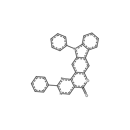 O=c1oc2cc3c4ccccc4n(-c4ccccc4)c3cc2c2nc(-c3ccccc3)ncc12